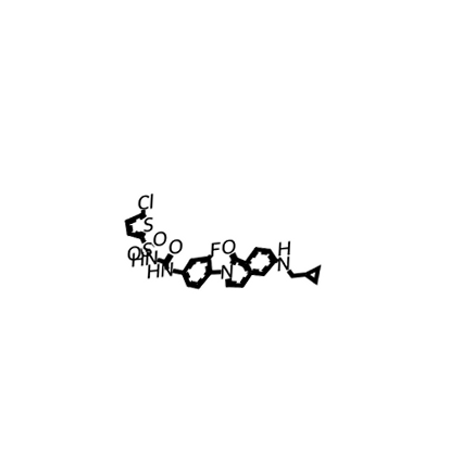 O=C(Nc1ccc(-n2ccc3cc(NCC4CC4)ccc3c2=O)c(F)c1)NS(=O)(=O)c1ccc(Cl)s1